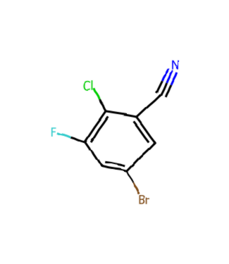 N#Cc1cc(Br)cc(F)c1Cl